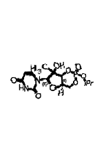 CC(C)OP1(=O)OC[C@H]2O[C@@H](n3ccc(=O)[nH]c3=O)C(C)(O)C2O1